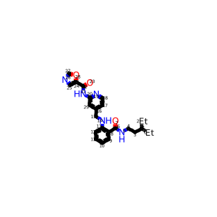 CCC(CC)CCNC(=O)c1ccccc1NCc1ccnc(NC(=O)c2cnco2)c1